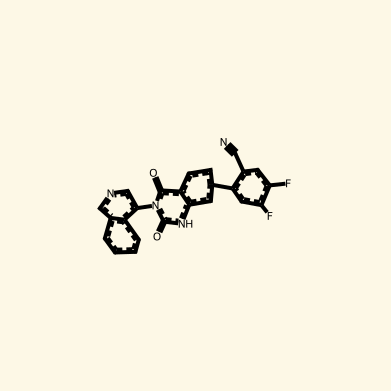 N#Cc1cc(F)c(F)cc1-c1ccc2c(=O)n(-c3cncc4ccccc34)c(=O)[nH]c2c1